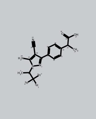 [2H]C([2H])([2H])C(C)n1nc(-c2ccc(C(C)C(=O)O)cc2)c(C#N)c1N